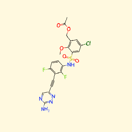 COc1c(COC(C)=O)cc(Cl)cc1S(=O)(=O)Nc1ccc(F)c(C#Cc2cnc(N)nn2)c1F